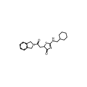 O=C1N=C(NCC2CCCCC2)SC1CC(=O)N1Cc2ccccc2C1